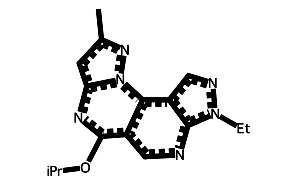 CCn1ncc2c1ncc1c(OC(C)C)nc3cc(C)nn3c12